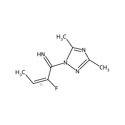 C/C=C(/F)C(=N)n1nc(C)nc1C